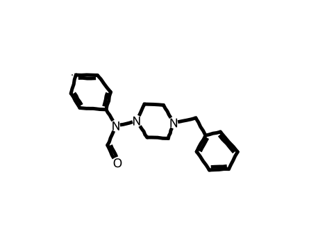 O=CN(c1cc[c]cc1)N1CCN(Cc2ccccc2)CC1